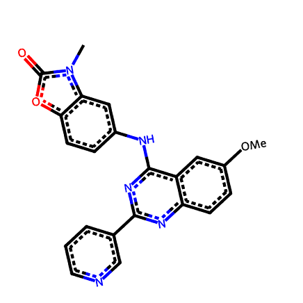 COc1ccc2nc(-c3cccnc3)nc(Nc3ccc4oc(=O)n(C)c4c3)c2c1